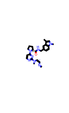 C=N/C=C\N(C)c1nccc(N2CCC[C@@H]2C(=O)NCc2ccc3c(c2)c(C)cn3C)n1